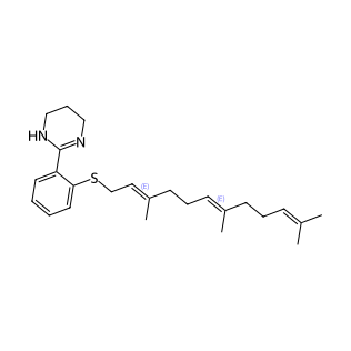 CC(C)=CCC/C(C)=C/CC/C(C)=C/CSc1ccccc1C1=NCCCN1